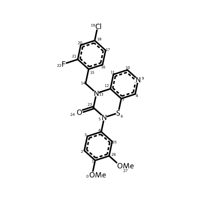 COc1ccc(N2Sc3cnccc3N(Cc3ccc(Cl)cc3F)C2=O)cc1OC